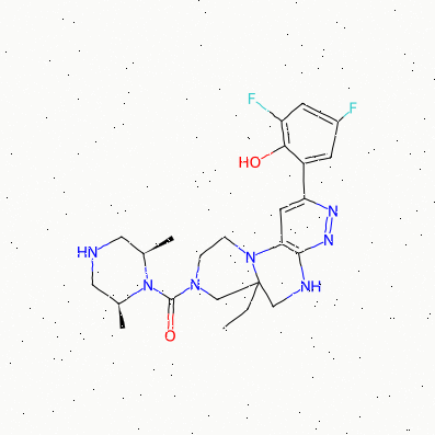 CCC12CNc3nnc(-c4cc(F)cc(F)c4O)cc3N1CCN(C(=O)N1[C@H](C)CNC[C@@H]1C)C2